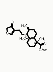 C=C1CCC2[C@](C)(CCC[C@]2(C)C(=O)OC)[C@H]1CCC1=COCC1=O